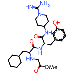 COC(=O)CNC(CC1CCCCC1)C(=O)N[C@H](Cc1cccc(O)c1)C(=O)NC1CCN(C(=N)N)CC1